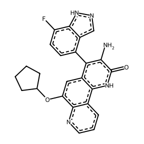 Nc1c(-c2ccc(F)c3[nH]ncc23)c2cc(OC3CCCC3)c3ncccc3c2[nH]c1=O